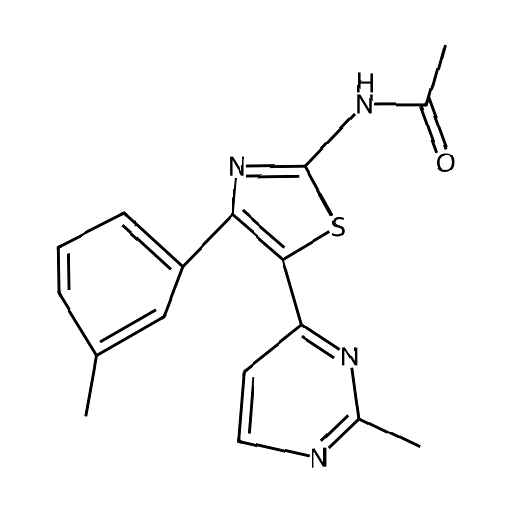 CC(=O)Nc1nc(-c2cccc(C)c2)c(-c2ccnc(C)n2)s1